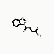 NC(=S)CNC(=O)n1nnc2ccccc21